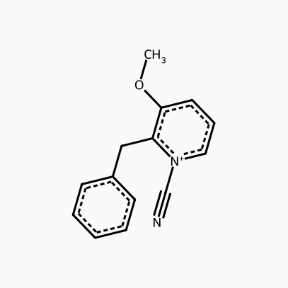 COc1ccc[n+](C#N)c1Cc1ccccc1